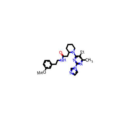 CCc1c(C)nc(-n2ccnc2)nc1N1CCCCC1CC(=O)NCCc1cccc(OC)c1